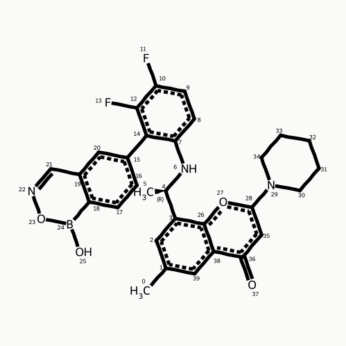 Cc1cc([C@@H](C)Nc2ccc(F)c(F)c2-c2ccc3c(c2)C=NOB3O)c2oc(N3CCCCC3)cc(=O)c2c1